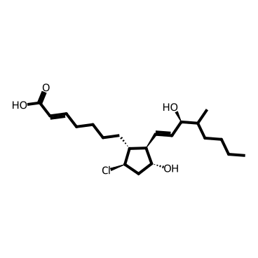 CCCCC(C)[C@H](O)/C=C/[C@@H]1[C@@H](CCCC/C=C/C(=O)O)[C@H](Cl)C[C@H]1O